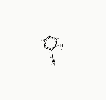 N#Cc1cncnc1.[H+]